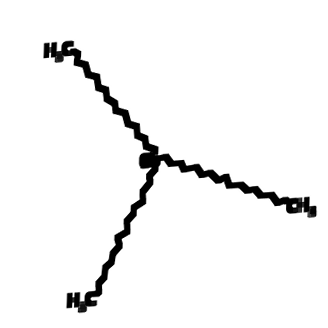 CCCCCCCCCCCCCCCCC[CH2][Sb](=[O])([CH2]CCCCCCCCCCCCCCCCC)[CH2]CCCCCCCCCCCCCCCCC